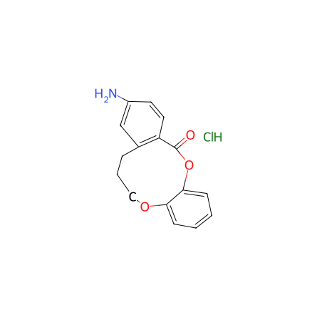 Cl.Nc1ccc2c(c1)CCCOc1ccccc1OC2=O